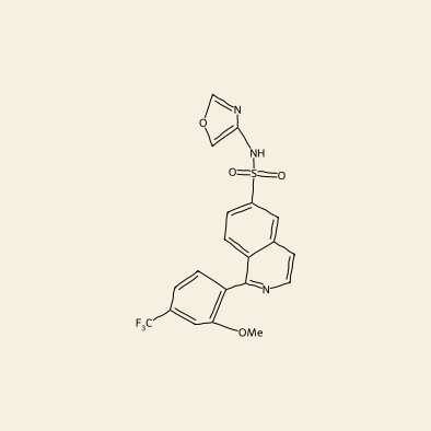 COc1cc(C(F)(F)F)ccc1-c1nccc2cc(S(=O)(=O)Nc3cocn3)ccc12